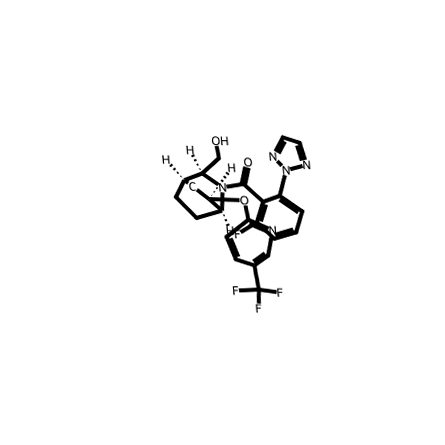 O=C(c1c(F)cccc1-n1nccn1)N1[C@H](CO)[C@@H]2CC[C@H]1[C@H](Oc1ccc(C(F)(F)F)cn1)C2